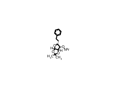 CCCO[C@@H]1[C@H]2OC(C)(C)O[C@H]2O[C@@H]1CCc1ccccc1